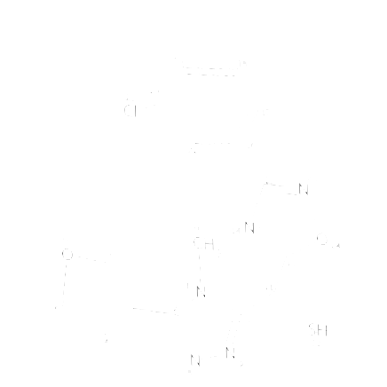 Cn1c(-c2ccoc2)nnc1C(S)c1nc(-c2cccc(Cl)c2)no1